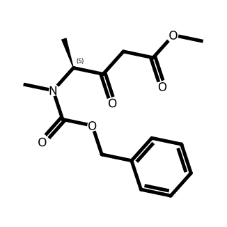 COC(=O)CC(=O)[C@H](C)N(C)C(=O)OCc1ccccc1